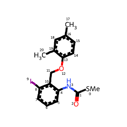 CSC(=O)Nc1cccc(I)c1COc1ccc(C)cc1C